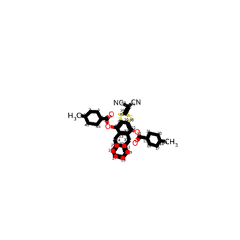 CC1CCC(C(=O)Oc2c3c(c(OC(=O)C4CCC(C)CC4)c4c2C2c5ccccc5C4c4ccccc42)SC(=C(C#N)C#N)S3)CC1